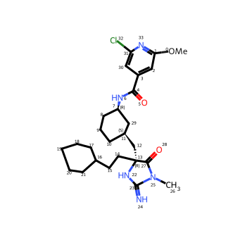 COc1cc(C(=O)N[C@@H]2CCC[C@H](C[C@@]3(CCC4CCCCC4)NC(=N)N(C)C3=O)C2)cc(Cl)n1